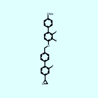 COc1ccc(-c2ccc(OCc3ccc(-c4ccc(C5CO5)cc4F)cc3)c(F)c2F)cc1